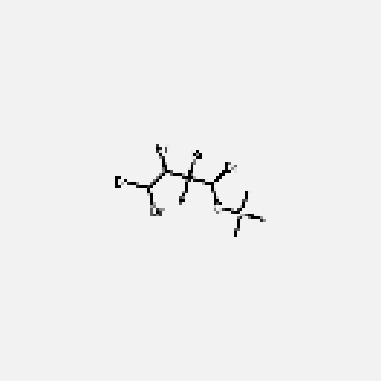 C[Si](C)(C)OC(Br)C(Br)(Br)C(Br)C(Br)Br